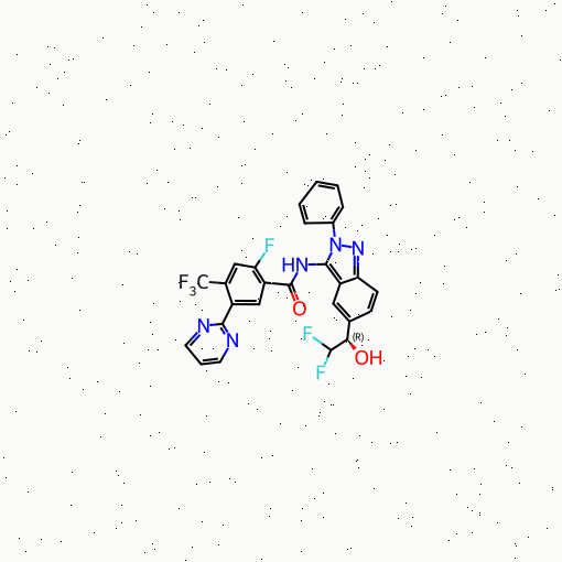 O=C(Nc1c2cc([C@@H](O)C(F)F)ccc2nn1-c1ccccc1)c1cc(-c2ncccn2)c(C(F)(F)F)cc1F